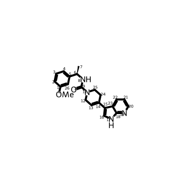 COc1cccc([C@@H](C)NC(=O)N2CC=C(c3c[nH]c4ncccc34)CC2)c1